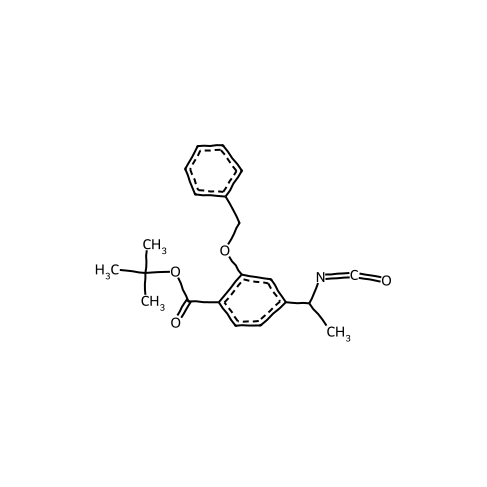 CC(N=C=O)c1ccc(C(=O)OC(C)(C)C)c(OCc2ccccc2)c1